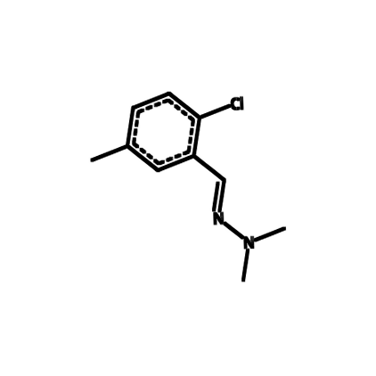 Cc1ccc(Cl)c(C=NN(C)C)c1